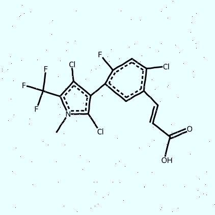 Cn1c(Cl)c(-c2cc(C=CC(=O)O)c(Cl)cc2F)c(Cl)c1C(F)(F)F